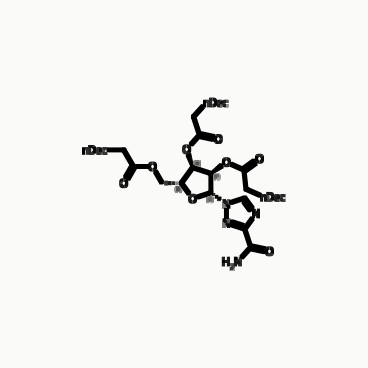 CCCCCCCCCCCC(=O)OC[C@H]1O[C@@H](n2cnc(C(N)=O)n2)[C@H](OC(=O)CCCCCCCCCCC)[C@@H]1OC(=O)CCCCCCCCCCC